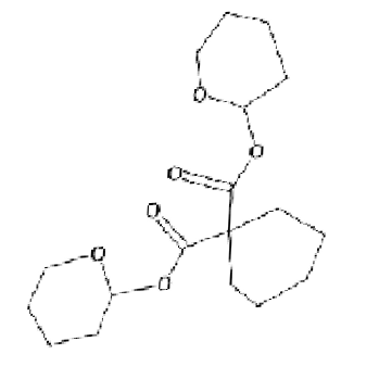 O=C(OC1CCCCO1)C1(C(=O)OC2CCCCO2)CCCCC1